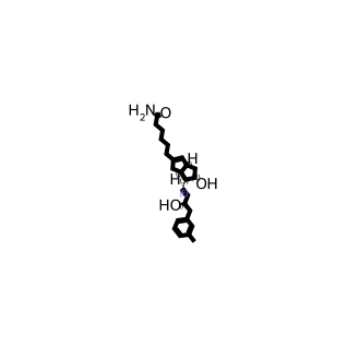 Cc1cccc(C[C@@H](O)/C=C/[C@@H]2[C@H]3CC(CCCCCC(N)=O)=C[C@H]3C[C@H]2O)c1